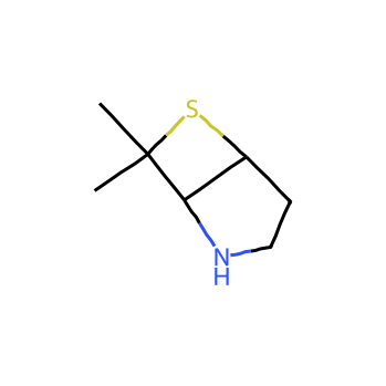 CC1(C)SC2CCNC21